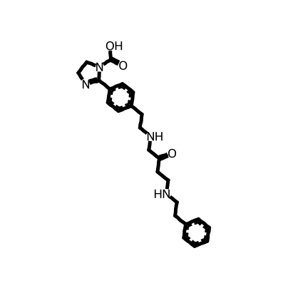 O=C(CCNCCc1ccccc1)CNCCc1ccc(C2=NCCN2C(=O)O)cc1